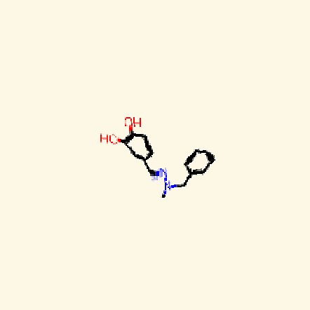 CN(Cc1ccccc1)/N=C/c1ccc(O)c(O)c1